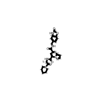 C[C@H](NC(=O)c1cc(C(=O)NCc2ccc3oc(=O)[nH]c3c2)nc2ccnn12)C(=O)N1CCCCC1